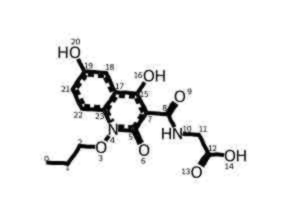 CCCOn1c(=O)c(C(=O)NCC(=O)O)c(O)c2cc(O)ccc21